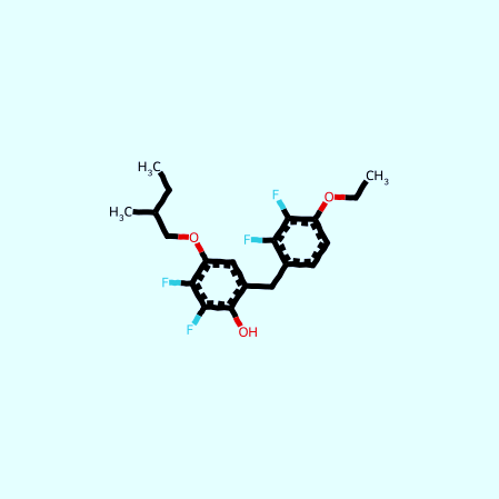 CCOc1ccc(Cc2cc(OCC(C)CC)c(F)c(F)c2O)c(F)c1F